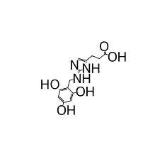 O=C(O)CCc1cnc(NCc2c(O)cc(O)cc2O)[nH]1